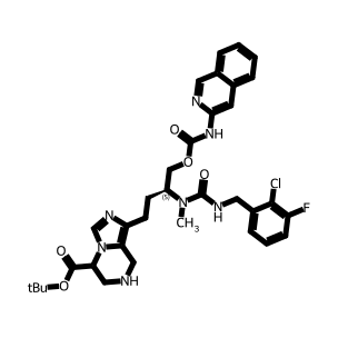 CN(C(=O)NCc1cccc(F)c1Cl)[C@@H](CCc1ncn2c1CNCC2C(=O)OC(C)(C)C)COC(=O)Nc1cc2ccccc2cn1